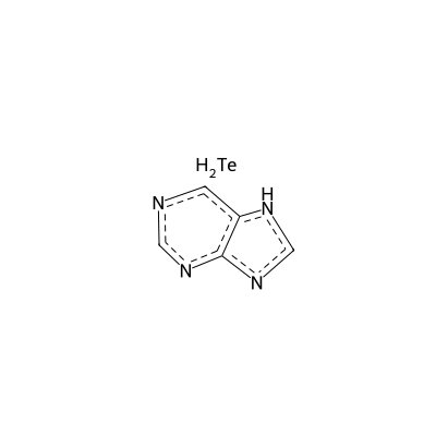 [TeH2].c1ncc2[nH]cnc2n1